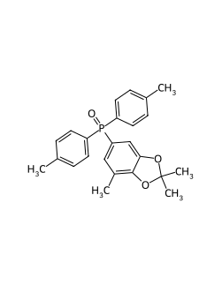 Cc1ccc(P(=O)(c2ccc(C)cc2)c2cc(C)c3c(c2)OC(C)(C)O3)cc1